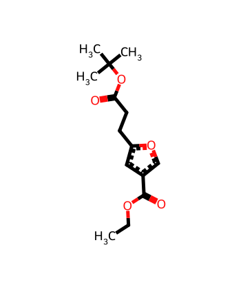 CCOC(=O)c1coc(CCC(=O)OC(C)(C)C)c1